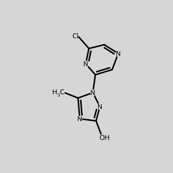 Cc1nc(O)nn1-c1cncc(Cl)n1